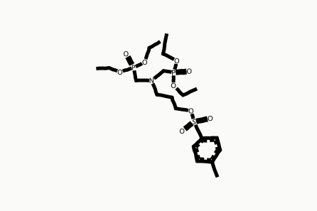 CCOP(=O)(CN(CCCOS(=O)(=O)c1ccc(C)cc1)CP(=O)(OCC)OCC)OCC